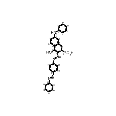 O=S(=O)(O)c1cc2cc(Nc3ccccc3)ccc2c(O)c1N=Nc1ccc(N=Nc2ccccc2)cc1